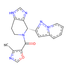 N#Cc1ncoc1C(=O)N1CCc2[nH]cnc2[C@@H]1c1cc2ccccn2n1